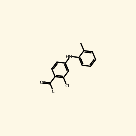 Cc1ccccc1Nc1ccc(C(=O)Cl)c(Cl)c1